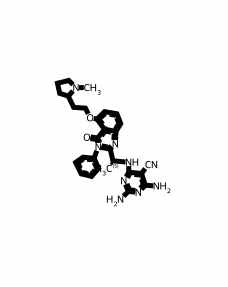 C[C@H](Nc1nc(N)nc(N)c1C#N)c1nc2cccc(OCCC3CCCN3C)c2c(=O)n1-c1ccccc1